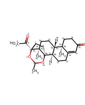 CC1O[C@@]2(C(=O)C(=O)O)CC[C@@]3(O1)[C@@H]1CCC4=CC(=O)CC[C@]4(C)[C@H]1CC[C@]23C